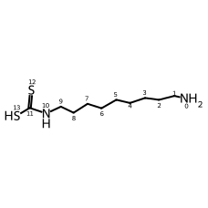 NCCCCCCCCCNC(=S)S